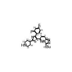 CC(C)(C)c1nnc2ccc(-c3sc(C4CCNCC4)nc3-c3ccc(F)cc3F)nn12